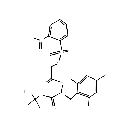 Cc1cc(C)c(C[C@H](NC(=O)[C@H](C)NS(=O)(=O)c2ccccc2[N+](=O)[O-])C(=O)OC(C)(C)C)c(F)c1